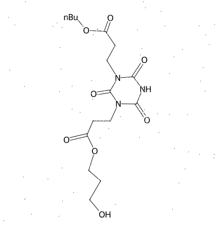 CCCCOC(=O)CCn1c(=O)[nH]c(=O)n(CCC(=O)OCCCO)c1=O